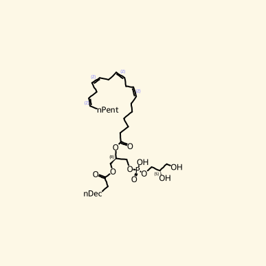 CCCCC/C=C\C/C=C\C/C=C\C/C=C\CCCCCC(=O)O[C@H](COC(=O)CCCCCCCCCCC)COP(=O)(O)OC[C@@H](O)CO